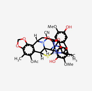 C=CCN1C2c3c(cc(C)c(OC)c3O)CC1[C@H](C#N)N1[C@H]2[C@@H]2SC[C@]3(NCCc4cc(O)c(OC)cc43)C(=O)OC[C@H]1c1c3c(c(C)c(OC(C)=O)c12)OCO3